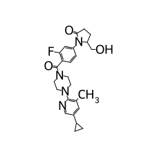 Cc1cc(C2CC2)cnc1N1CCN(C(=O)c2ccc(N3C(=O)CCC3CO)cc2F)CC1